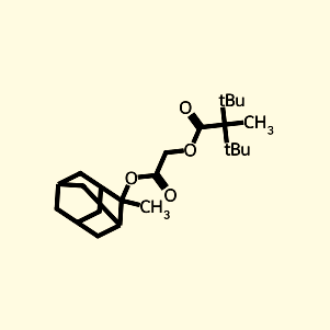 CC1(OC(=O)COC(=O)C(C)(C(C)(C)C)C(C)(C)C)C2CC3CC(C2)CC1C3